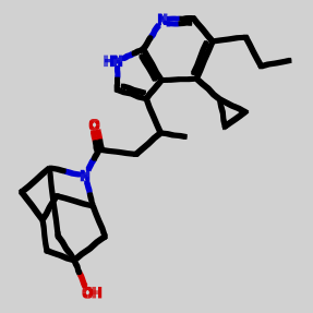 CCCc1cnc2[nH]cc(C(C)CC(=O)N3C4CC5CC3CC(O)(C5)C4)c2c1C1CC1